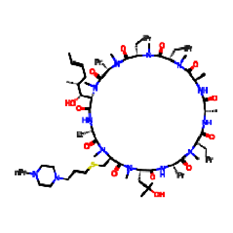 C/C=C/C[C@@H](C)[C@@H](O)[C@H]1C(=O)N[C@@H](CC)C(=O)N(C)[C@H](CSCCCN2CCN(CCC)CC2)C(=O)N(C)[C@@H](CC(C)(C)O)C(=O)N[C@@H](C(C)C)C(=O)N(C)[C@@H](CC(C)C)C(=O)N[C@@H](C)C(=O)N[C@H](C)C(=O)N(C)[C@@H](CC(C)C)C(=O)N(C)[C@@H](CC(C)C)C(=O)N(C)[C@@H](C(C)C)C(=O)N1C